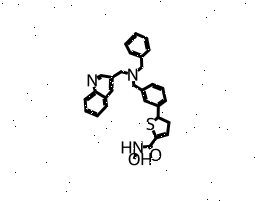 O=C(NO)C1=CCC(c2cccc(CN(Cc3ccccc3)Cc3cnc4ccccc4c3)c2)S1